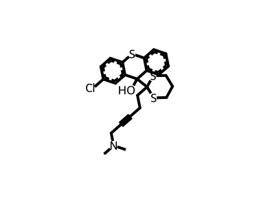 CN(C)CC#CCCC1(C2(O)c3ccccc3Sc3ccc(Cl)cc32)SCCCS1